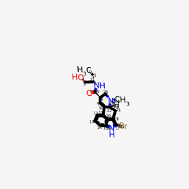 CC[C@@H](CO)NC(=O)[C@@H]1C=C2c3cccc4[nH]c(Br)c(c34)C[C@H]2N(C)C1